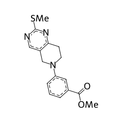 COC(=O)c1cccc(N2CCc3nc(SC)ncc3C2)c1